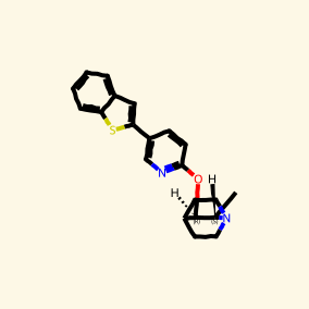 C[C@H]1[C@H](Oc2ccc(-c3cc4ccccc4s3)cn2)C2CCN1CC2